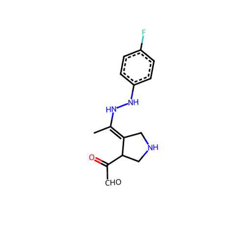 CC(NNc1ccc(F)cc1)=C1CNCC1C(=O)C=O